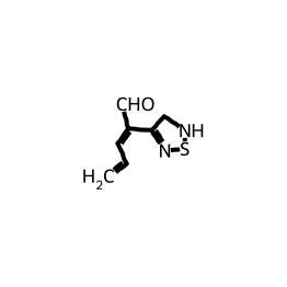 C=C/C=C(/C=O)C1=NSNC1